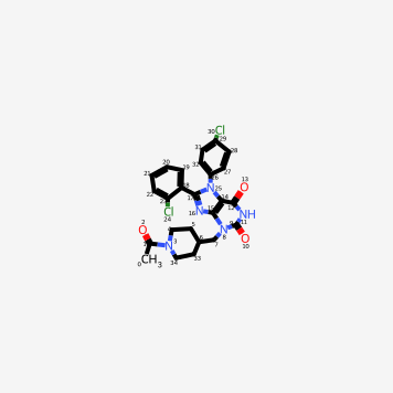 CC(=O)N1CCC(Cn2c(=O)[nH]c(=O)c3c2nc(-c2ccccc2Cl)n3-c2ccc(Cl)cc2)CC1